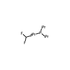 CC(C)P(C(C)C)C(C)C.FC(F)F